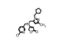 Cc1cc(CN(Cc2ccc(Cl)nc2)C2=CC(=O)OC2)n(CC2CCCC2)n1